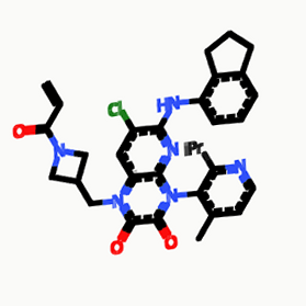 C=CC(=O)N1CC(Cn2c(=O)c(=O)n(-c3c(C)ccnc3C(C)C)c3nc(Nc4cccc5c4CCC5)c(Cl)cc32)C1